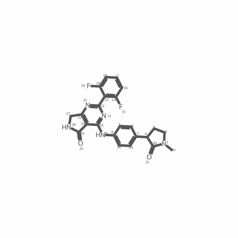 CN1CCC(c2ccc(Nc3nc(-c4c(F)cccc4F)nc4c3C(=O)NC4)cc2)C1=O